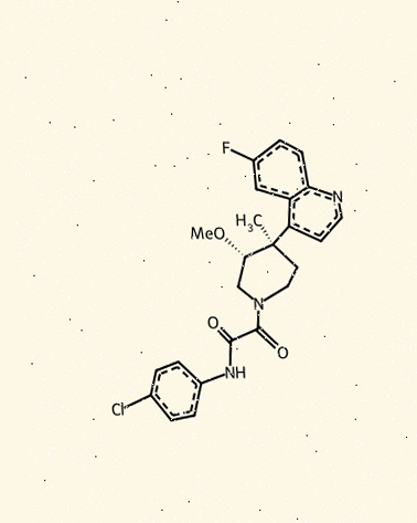 CO[C@H]1CN(C(=O)C(=O)Nc2ccc(Cl)cc2)CC[C@]1(C)c1ccnc2ccc(F)cc12